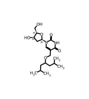 CC(C)CC(CC(C)C)OCc1cn([C@H]2C[C@@H](O)[C@@H](CO)O2)c(=O)[nH]c1=O